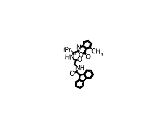 Cc1cccc2nc([C@@H](NC(=O)CNC(=O)C3c4ccccc4-c4ccccc43)C(C)C)oc(=O)c12